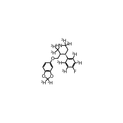 [2H]c1c([2H])c([C@@H]2CC([2H])([2H])NC([2H])([2H])C2COc2ccc3c(c2)OC([2H])([2H])O3)c([2H])c([2H])c1F